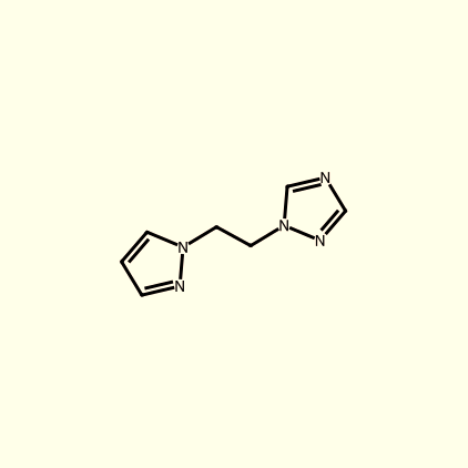 c1cnn(CCn2cncn2)c1